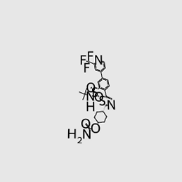 CC(C)(C)NS(=O)(=O)c1cc(-c2ccnc(C(F)(F)F)c2)ccc1-c1cnc([C@H]2CC[C@H](OC(N)=O)CC2)s1